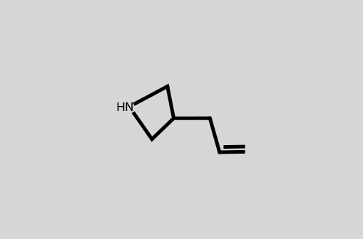 C=CCC1CNC1